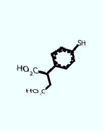 O=C(O)CC(C(=O)O)c1ccc(S)cc1